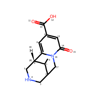 CC1C2CNC[C@@H]1c1cc(C(=O)O)cc(=O)n1C2